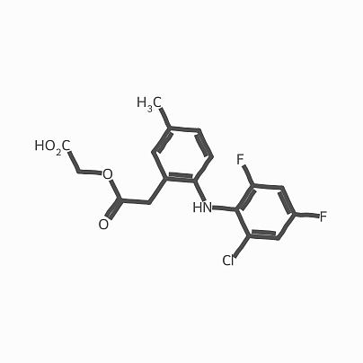 Cc1ccc(Nc2c(F)cc(F)cc2Cl)c(CC(=O)OCC(=O)O)c1